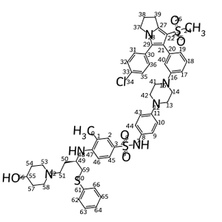 Cc1cc(S(=O)(=O)Nc2ccc(N3CCN(c4cccc(-c5c(S(C)(=O)=O)c6n(c5-c5ccc(Cl)cc5)CCC6)c4)CC3)cc2)ccc1N[C@H](CCN1CCC(O)CC1)CSc1ccccc1